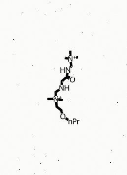 CCCOCC[N+](C)(C)CNCC(=O)NC[N+](C)(C)C